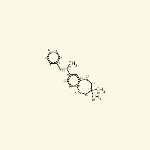 C/C(=C\c1ccccc1)c1ccc2c(c1)SCC(C)(C)CS2